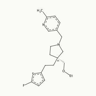 CCOC[C@]1(CCc2ccc(F)s2)CCN(Cc2ccc(C)nc2)C1